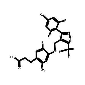 Cc1cc(OCc2c(-c3c(F)cc(Cl)cc3F)nsc2C(F)(F)F)c(F)cc1CCC(=O)O